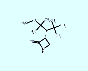 CC(C)(C)C([C@@H]1CNC1=O)C(C)(C)O[SiH3]